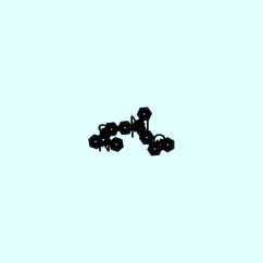 c1ccc(-c2nc(-c3ccc(-c4ccc5sc6c7ccccc7nc(-c7ccccc7)c6c5c4)cc3)nc(-c3ccc(-c4cccc5c4oc4ccccc45)cc3)n2)cc1